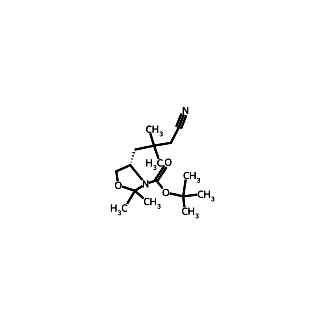 CC(C)(CC#N)C[C@H]1COC(C)(C)N1C(=O)OC(C)(C)C